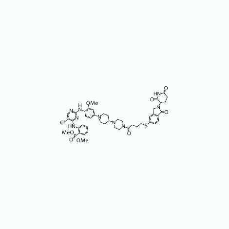 COc1cc(N2CCC(N3CCN(C(=O)CCCSc4ccc5c(c4)CN(C4CCC(=O)NC4=O)C5=O)CC3)CC2)ccc1Nc1ncc(Cl)c(Nc2ccccc2P(=O)(OC)OC)n1